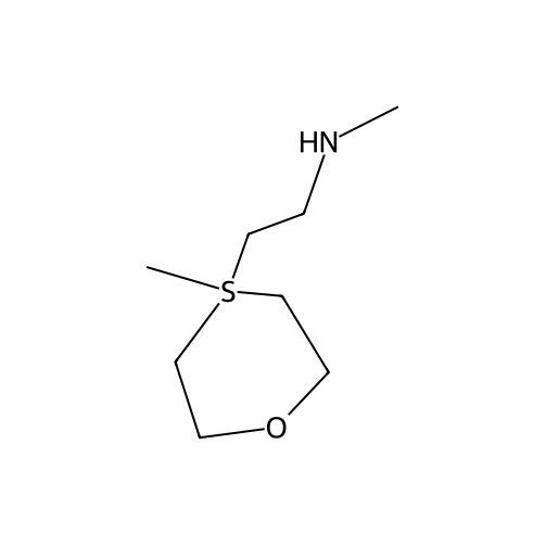 CNCCS1(C)CCOCC1